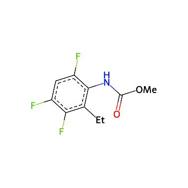 CCc1c(F)c(F)cc(F)c1NC(=O)OC